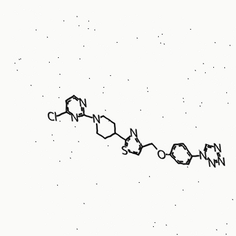 Clc1ccnc(N2CCC(c3nc(COc4ccc(-n5cnnn5)cc4)cs3)CC2)n1